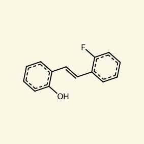 Oc1ccccc1C=Cc1ccccc1F